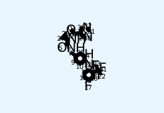 O=C(NC1(C(=O)NCc2ccc(Nc3ccc(F)cc3C(F)(F)F)cc2)CC1)c1cncnc1